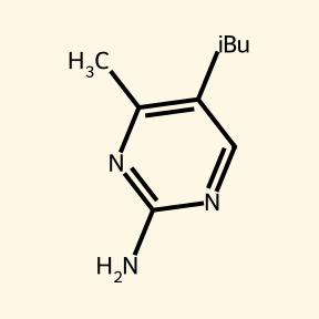 CCC(C)c1cnc(N)nc1C